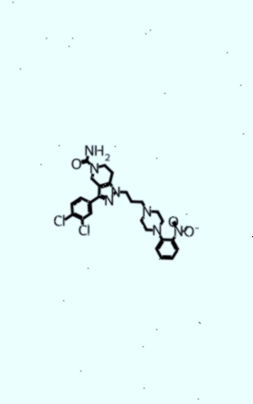 NC(=O)N1CCc2c(c(-c3ccc(Cl)c(Cl)c3)nn2CCCN2CCN(c3ccccc3[N+](=O)[O-])CC2)C1